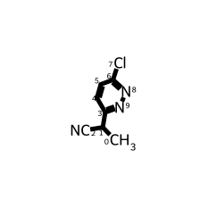 CC(C#N)c1ccc(Cl)nn1